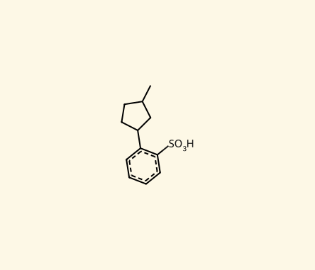 CC1CCC(c2ccccc2S(=O)(=O)O)C1